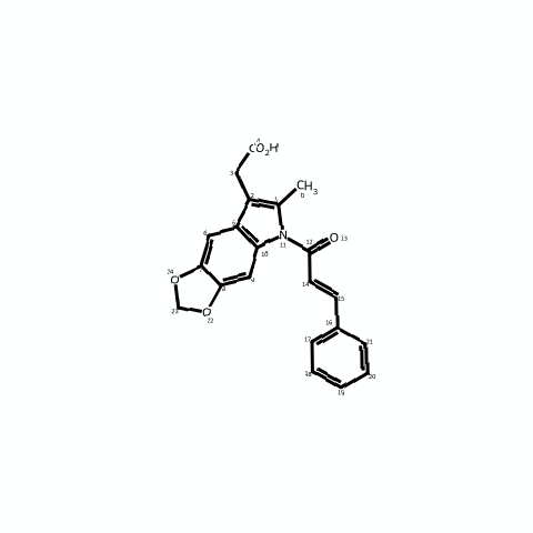 Cc1c(CC(=O)O)c2cc3c(cc2n1C(=O)C=Cc1ccccc1)OCO3